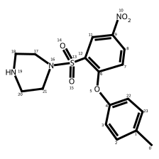 Cc1ccc(Oc2ccc([N+](=O)[O-])cc2S(=O)(=O)N2CCNCC2)cc1